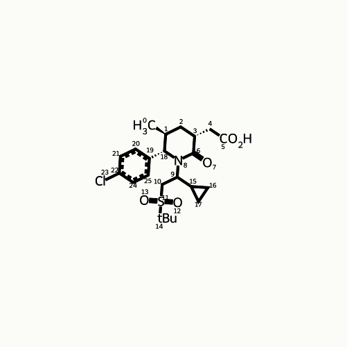 C[C@H]1C[C@H](CC(=O)O)C(=O)N(C(CS(=O)(=O)C(C)(C)C)C2CC2)[C@@H]1c1ccc(Cl)cc1